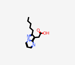 CCCCCc1nn2cccnc2c1CC(=O)O